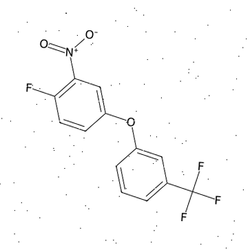 O=[N+]([O-])c1cc(Oc2cccc(C(F)(F)F)c2)ccc1F